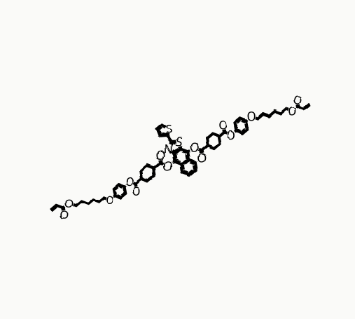 C=CC(=O)OCCCCCCOc1ccc(OC(=O)C2CCC(C(=O)Oc3c4ccccc4c(OC(=O)C4CCC(C(=O)Oc5ccc(OCCCCCCOC(=O)C=C)cc5)CC4)c4sc(-c5cccs5)nc34)CC2)cc1